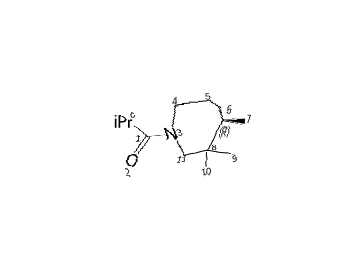 CC(C)C(=O)N1CC[C@@H](C)C(C)(C)C1